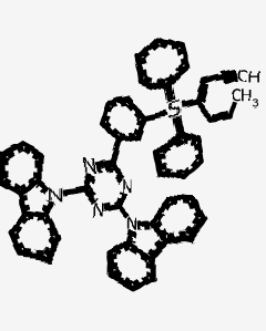 C#C/C=C(\C=C/C)S(c1ccccc1)(c1ccccc1)c1cccc(-c2nc(-n3c4ccccc4c4ccccc43)nc(-n3c4ccccc4c4ccccc43)n2)c1